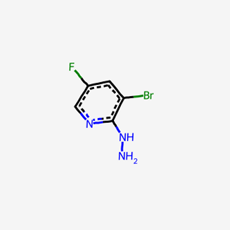 NNc1ncc(F)cc1Br